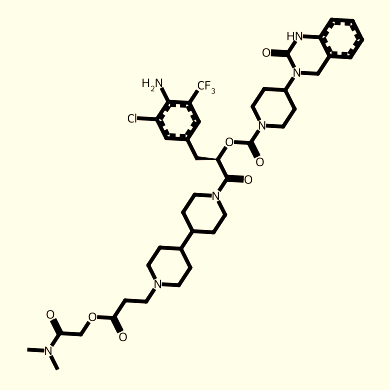 CN(C)C(=O)COC(=O)CCN1CCC(C2CCN(C(=O)[C@@H](Cc3cc(Cl)c(N)c(C(F)(F)F)c3)OC(=O)N3CCC(N4Cc5ccccc5NC4=O)CC3)CC2)CC1